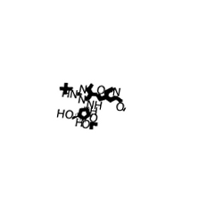 COCc1cc2cc(-c3c(C)nc(NCC(C)(C)C)nc3N[C@@H]3C[C@H](CO)[C@H]4OC(C)(C)O[C@H]43)oc2cn1